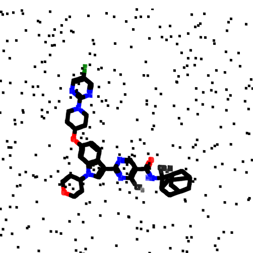 O=C(NC1(C(=O)O)C2CC3CC(C2)CC1C3)c1cnc(-c2cn(C3CCOCC3)c3cc(OC4CCN(c5ncc(F)cn5)CC4)ccc23)nc1C(F)(F)F